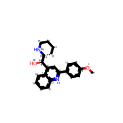 COc1ccc(-c2cc([C@@H](O)[C@H]3CCCCN3)c3ccccc3n2)cc1